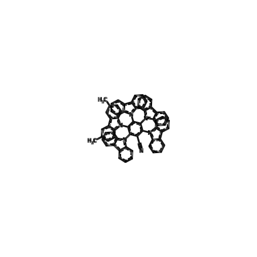 Cc1ccc2c(c1)c1cc(C)ccc1n2-c1c(-n2c3ccccc3c3ccccc32)c(C#N)c(-n2c3ccccc3c3ccccc32)c(-n2c3ccccc3c3ccccc32)c1-n1c2ccccc2c2ccccc21